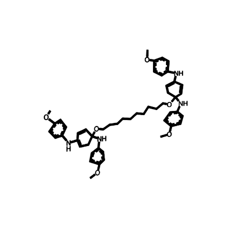 COc1ccc(NC2=CCC(Nc3ccc(OC)cc3)(OCCCCCCCCCCOC3(Nc4ccc(OC)cc4)C=CC(Nc4ccc(OC)cc4)=CC3)C=C2)cc1